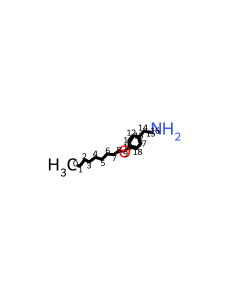 CCCCCCCCCOc1ccc(CCN)cc1